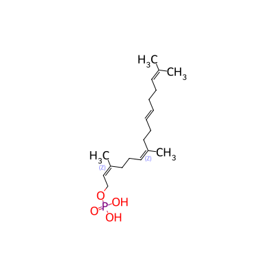 CC(C)=CCCC=CCC/C(C)=C\CC/C(C)=C\COP(=O)(O)O